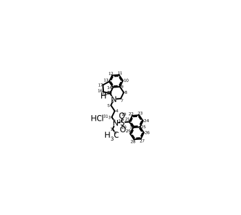 CCN(CCCN1CCc2cccc3c2[C@@H]1CC3)S(=O)(=O)c1cccc2ccccc12.Cl